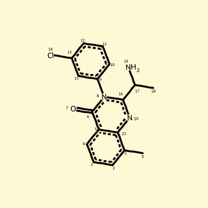 Cc1cccc2c(=O)n(-c3cccc(Cl)c3)c(C(C)N)nc12